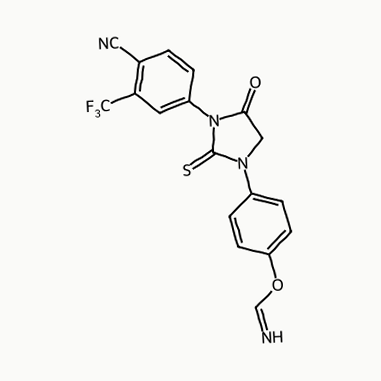 N#Cc1ccc(N2C(=O)CN(c3ccc(OC=N)cc3)C2=S)cc1C(F)(F)F